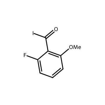 COc1cccc(F)c1C(=O)I